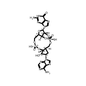 CO[C@H]1[C@H]2O[P@@](=O)(S)OC[C@H]3C[C@@H](n4cnc5c(N)ncnc54)[C@H](O)[C@@H]3O[P@](=O)(S)OC[C@H]1O[C@H]2n1cnc2c(=O)[nH]c(N)nc21